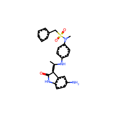 CC(Nc1ccc(N(C)S(=O)(=O)Cc2ccccc2)cc1)=C1C(=O)Nc2ccc(N)cc21